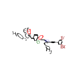 CCO[C@@H](Cc1ccc(OC/C=C(\C)C#Cc2cc(Br)cc(Br)c2)c(Cl)c1)C(=O)O